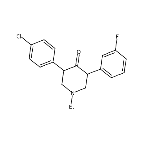 CCN1CC(c2ccc(Cl)cc2)C(=O)C(c2cccc(F)c2)C1